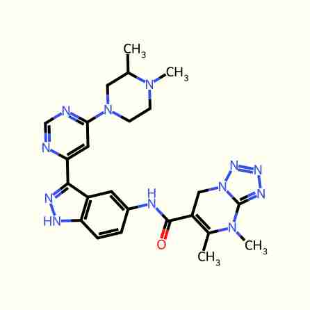 CC1=C(C(=O)Nc2ccc3[nH]nc(-c4cc(N5CCN(C)C(C)C5)ncn4)c3c2)Cn2nnnc2N1C